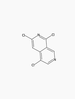 Clc1cc2c(Cl)cncc2c(Cl)n1